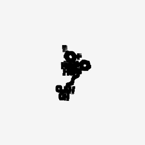 O=C(O)NCCCCN1c2ccccc2N(c2c(F)cc(F)cc2F)S1(O)O